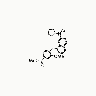 COC(=O)c1ccc(Cc2cccc3ccc(N(C(C)=O)C4CCCC4)cc23)c(OC)c1